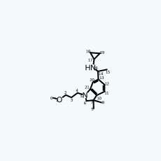 COCCCN1CC(C)(C)c2ccc(C(C)NC3CC3)cc21